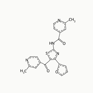 Cc1cc(C(=O)Nc2nc(-c3ccco3)c(C(=O)c3ccnc(C)c3)s2)ccn1